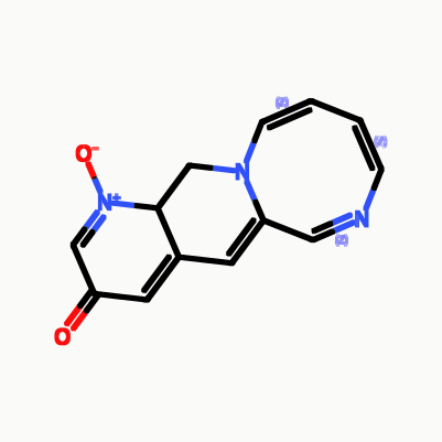 O=C1C=C2C=C3\C=N/C=C\C=C/N3CC2[N+]([O-])=C1